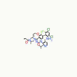 C=CC(=O)N1CC2CCOc3c(F)c(-c4c(N)c(Cl)cc(Cl)c4F)cc4c3c(nc(=O)n4-c3c(C)ccnc3C(C)C)N2CC1C